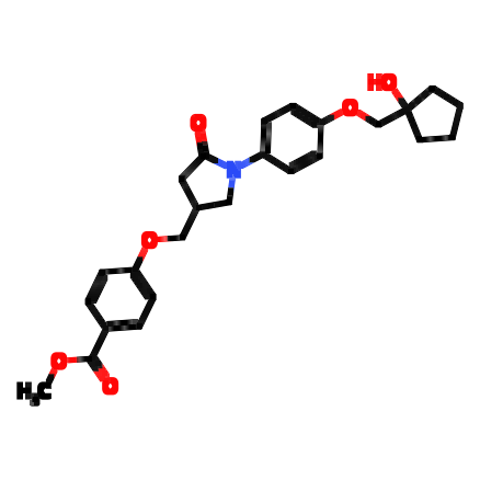 COC(=O)c1ccc(OCC2CC(=O)N(c3ccc(OCC4(O)CCCC4)cc3)C2)cc1